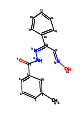 Cc1cccc(C(=O)NN=C(C=NO)c2ccccc2)c1